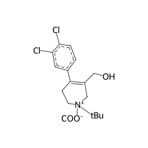 CC(C)(C)[N+]1(C(=O)[O-])CCC(c2ccc(Cl)c(Cl)c2)=C(CO)C1